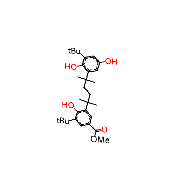 COC(=O)c1cc(C(C)(C)C)c(O)c(C(C)(C)CCC(C)(C)c2cc(O)cc(C(C)(C)C)c2O)c1